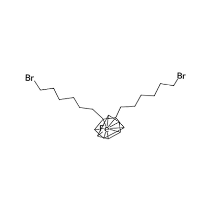 BrCCCCCC[C]12[CH]3[CH]4[CH]5[C]1(CCCCCCBr)[Fe]43521678[CH]2[CH]1[CH]6[CH]7[CH]28